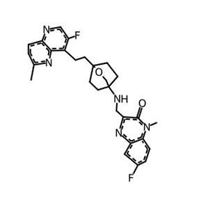 Cc1ccc2ncc(F)c(CCC34CCC(NCc5nc6cc(F)ccc6n(C)c5=O)(CC3)CO4)c2n1